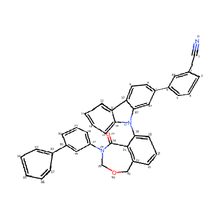 N#Cc1cccc(-c2ccc3c4ccccc4n(-c4cccc5c4C(=O)N(c4cccc(-c6ccccc6)c4)COC5)c3c2)c1